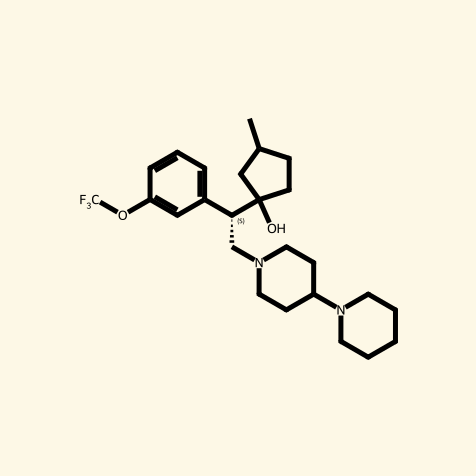 CC1CCC(O)([C@H](CN2CCC(N3CCCCC3)CC2)c2cccc(OC(F)(F)F)c2)C1